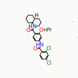 CCCOc1cc(NC(=O)c2ccc(Cl)cc2Cl)ccc1C(=O)N1CCC[C@@H]2CCCC[C@H]21